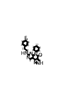 O=c1c2c[nH]nc2c2cnc(NCCc3ccc(F)cc3)nc2n1-c1ccccc1